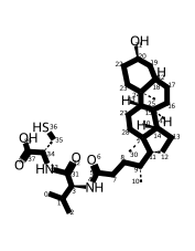 CC(C)[C@H](NC(=O)CC[C@@H](C)[C@H]1CC[C@H]2[C@@H]3CC[C@@H]4C[C@H](O)CC[C@]4(C)[C@H]3CC[C@]12C)C(=O)N[C@@H](CS)C(=O)O